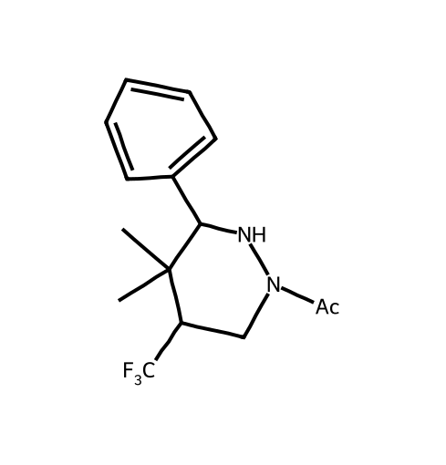 CC(=O)N1CC(C(F)(F)F)C(C)(C)C(c2ccccc2)N1